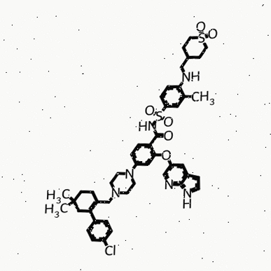 Cc1cc(S(=O)(=O)NC(=O)c2ccc(N3CCN(CC4=C(c5ccc(Cl)cc5)CC(C)(C)CC4)CC3)cc2Oc2cnc3[nH]ccc3c2)ccc1NCC1CCS(=O)(=O)CC1